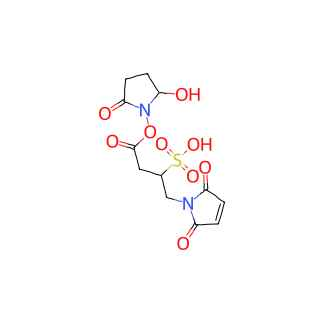 O=C(CC(CN1C(=O)C=CC1=O)S(=O)(=O)O)ON1C(=O)CCC1O